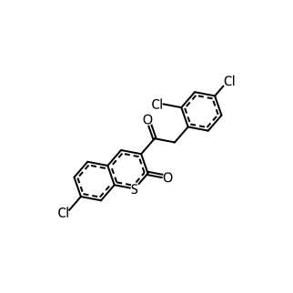 O=C(Cc1ccc(Cl)cc1Cl)c1cc2ccc(Cl)cc2sc1=O